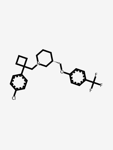 FC(F)(F)c1ccc(OC[C@H]2CCCN(CC3(c4ccc(Cl)cc4)CCC3)C2)cc1